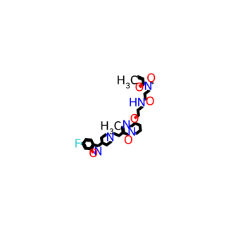 C/C=C\C(=O)N(C=O)CCC(=O)NCCCOC1CCCn2c1nc(C)c(CCN1CCC(c3noc4cc(F)ccc34)CC1)c2=O